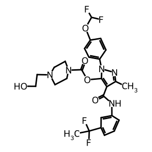 Cc1nn(-c2ccc(OC(F)F)cc2)c(OC(=O)N2CCN(CCO)CC2)c1C(=O)Nc1cccc(C(C)(F)F)c1